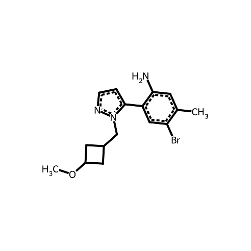 COC1CC(Cn2nccc2-c2cc(Br)c(C)cc2N)C1